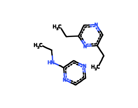 CCNc1cnccn1.CCc1cncc(CC)n1